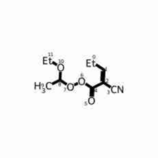 CCC=C(C#N)C(=O)OOC(C)OCC